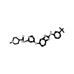 CN1CCC(C(=O)Nc2cc(Oc3ccc4sc(Nc5cccc(C(C)(C)C)c5)nc4c3)ccn2)CC1